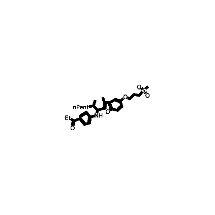 CCCCCC(C)C(Nc1ccc(C(=O)CC)cc1)c1oc2ccc(OCCCS(C)(=O)=O)cc2c1C